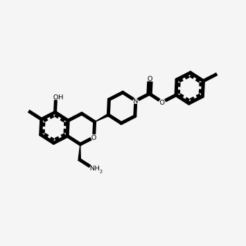 Cc1ccc(OC(=O)N2CCC([C@@H]3Cc4c(ccc(C)c4O)[C@H](CN)O3)CC2)cc1